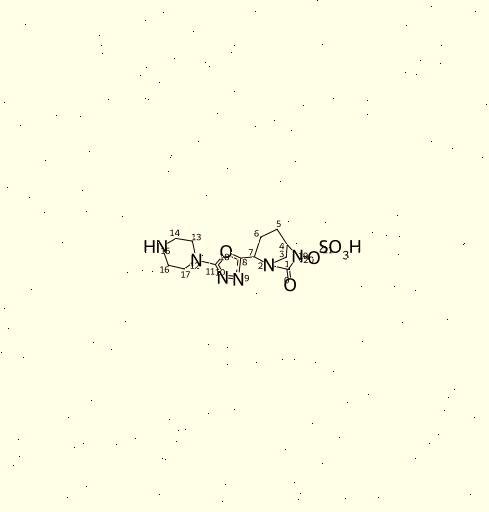 O=C1N2CC(CCC2c2nnc(N3CCNCC3)o2)N1OS(=O)(=O)O